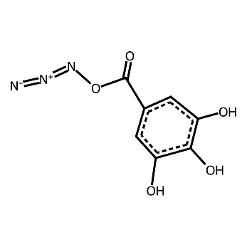 [N-]=[N+]=NOC(=O)c1cc(O)c(O)c(O)c1